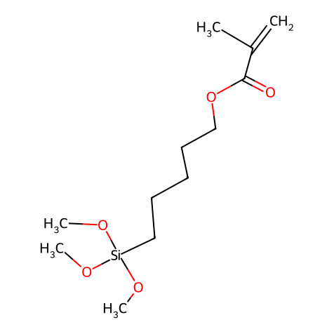 C=C(C)C(=O)OCCCCC[Si](OC)(OC)OC